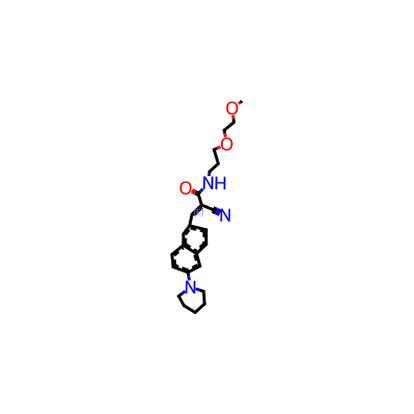 COCCOCCCNC(=O)/C(C#N)=C/c1ccc2cc(N3CCCCC3)ccc2c1